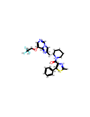 Cc1nc(C(=O)N2CCCC[C@H]2Cc2cn3cncc(OCC(F)(F)F)c3n2)c(-c2ccccc2)s1